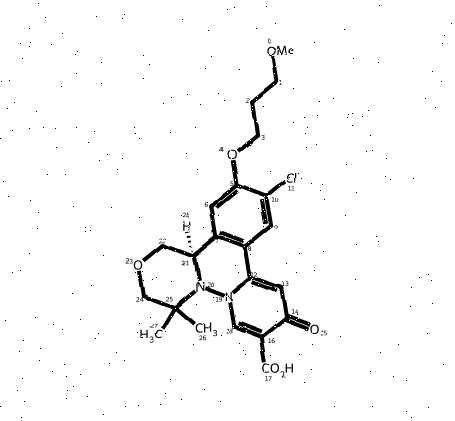 COCCCOc1cc2c(cc1Cl)-c1cc(=O)c(C(=O)O)cn1N1[C@H]2COCC1(C)C